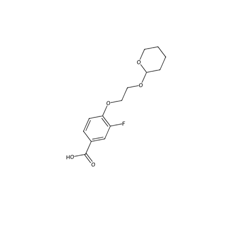 O=C(O)c1ccc(OCCOC2CCCCO2)c(F)c1